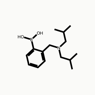 CC(C)CN(Cc1ccccc1B(O)O)CC(C)C